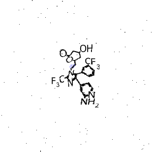 Nc1cc(-c2nc(C(F)(F)F)n(/C=C/C3CC(O)CC(=O)O3)c2-c2cccc(C(F)(F)F)c2)ccn1